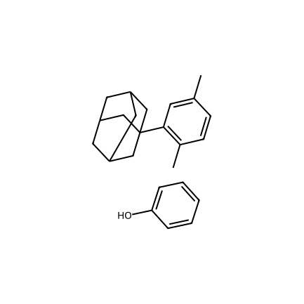 Cc1ccc(C)c(C23CC4CC(CC(C4)C2)C3)c1.Oc1ccccc1